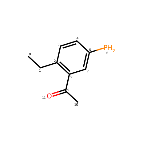 CCc1ccc(P)cc1C(C)=O